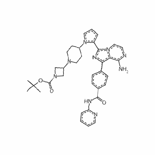 CC(C)(C)OC(=O)N1CC(N2CCC(n3cccc3-c3nc(-c4ccc(C(=O)Nc5ccccn5)cc4)c4c(N)nccn34)CC2)C1